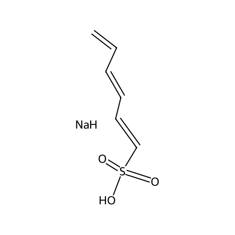 C=CC=CC=CS(=O)(=O)O.[NaH]